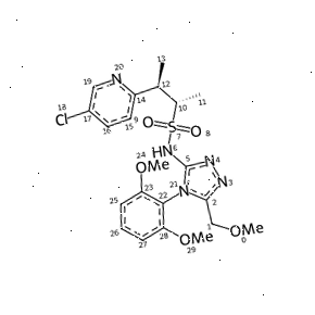 COCc1nnc(NS(=O)(=O)[C@@H](C)[C@H](C)c2ccc(Cl)cn2)n1-c1c(OC)cccc1OC